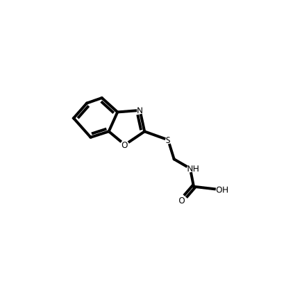 O=C(O)NCSc1nc2ccccc2o1